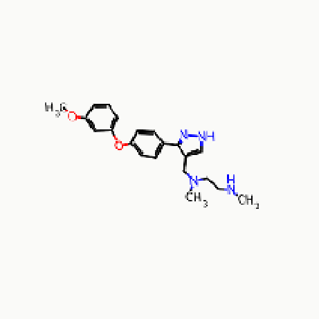 CNCCN(C)Cc1c[nH]nc1-c1ccc(Oc2cccc(OC)c2)cc1